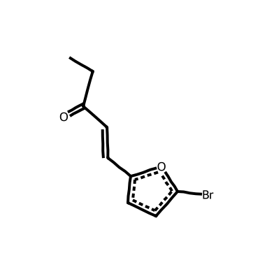 CCC(=O)C=Cc1ccc(Br)o1